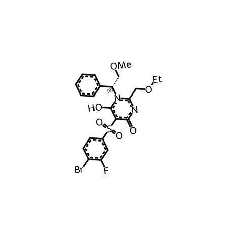 CCOCc1nc(=O)c(S(=O)(=O)c2ccc(Br)c(F)c2)c(O)n1[C@@H](COC)c1ccccc1